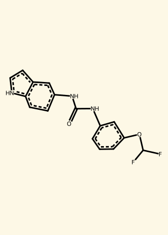 O=C(Nc1cccc(OC(F)F)c1)Nc1ccc2[nH]ccc2c1